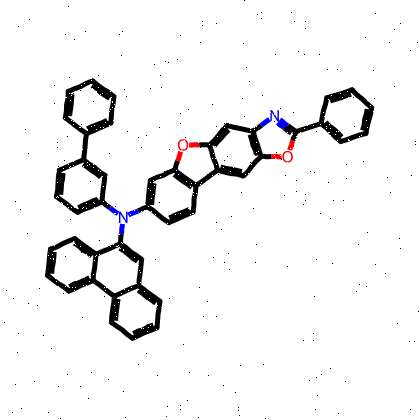 c1ccc(-c2cccc(N(c3ccc4c(c3)oc3cc5nc(-c6ccccc6)oc5cc34)c3cc4ccccc4c4ccccc34)c2)cc1